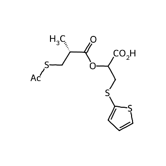 CC(=O)SC[C@H](C)C(=O)OC(CSc1cccs1)C(=O)O